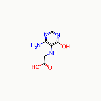 Nc1ncnc(O)c1NCC(=O)O